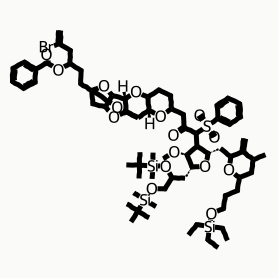 C=C(Br)CC(CCC12CC3OC4C(O1)[C@H]1OC(CC(=O)C(C5[C@H](CC6OC(CCCO[Si](CC)(CC)CC)CC(C)C6=C)O[C@H](CC(CO[Si](C)(C)C(C)(C)C)O[Si](C)(C)C(C)(C)C)[C@@H]5OC)S(=O)(=O)c5ccccc5)CCC1O[C@H]4C3O2)OC(=O)c1ccccc1